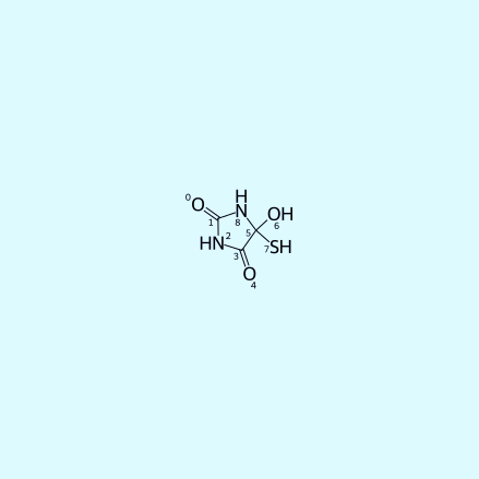 O=C1NC(=O)C(O)(S)N1